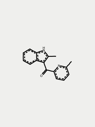 Cc1cccc(C(=O)c2c(C)[nH]c3ccccc23)n1